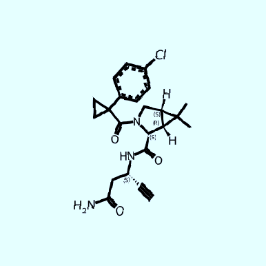 C#C[C@H](CC(N)=O)NC(=O)[C@@H]1[C@@H]2[C@H](CN1C(=O)C1(c3ccc(Cl)cc3)CC1)C2(C)C